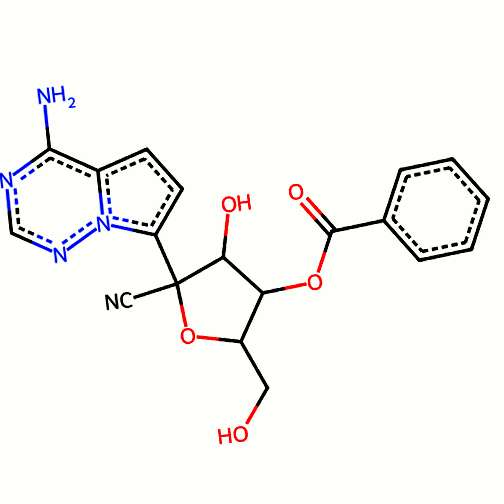 N#CC1(c2ccc3c(N)ncnn23)OC(CO)C(OC(=O)c2ccccc2)C1O